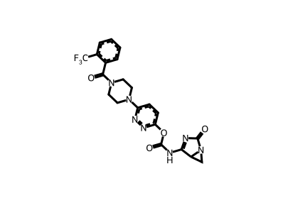 O=C(NC1=NC(=O)N2CC12)Oc1ccc(N2CCN(C(=O)c3ccccc3C(F)(F)F)CC2)nn1